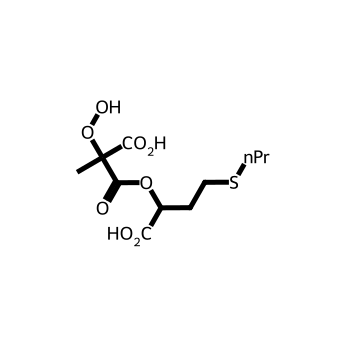 CCCSCCC(OC(=O)C(C)(OO)C(=O)O)C(=O)O